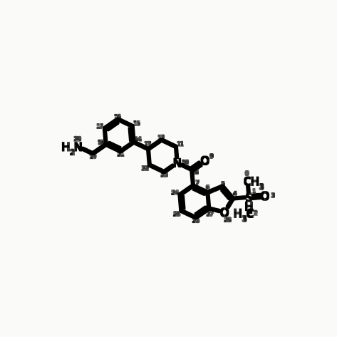 C[SH](C)(=O)c1cc2c(C(=O)N3CCC(c4cccc(CN)c4)CC3)cccc2o1